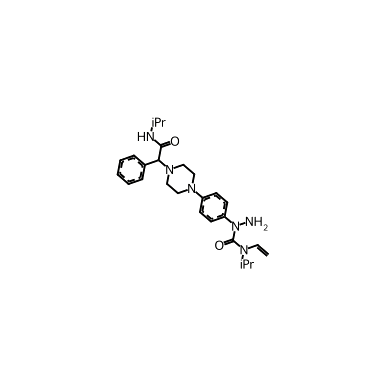 C=CN(C(=O)N(N)c1ccc(N2CCN(C(C(=O)NC(C)C)c3ccccc3)CC2)cc1)C(C)C